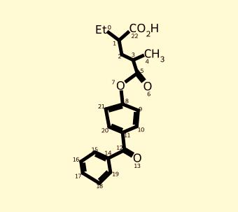 CCC(CC(C)C(=O)Oc1ccc(C(=O)c2ccccc2)cc1)C(=O)O